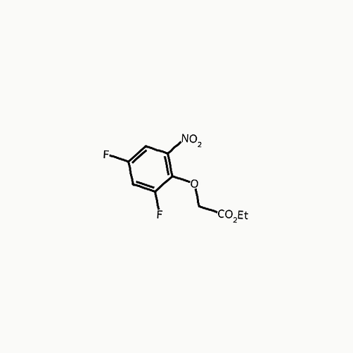 CCOC(=O)COc1c(F)cc(F)cc1[N+](=O)[O-]